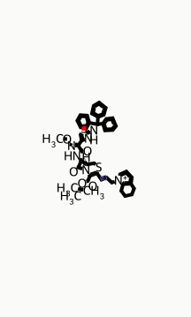 CON=C(C(=O)N[C@@H]1C(=O)N2C(C(=O)OC(C)(C)C)=C(/C=C/C[n+]3cccc4c3CCCC4)SC[C@H]12)c1csc(NC(c2ccccc2)(c2ccccc2)c2ccccc2)n1